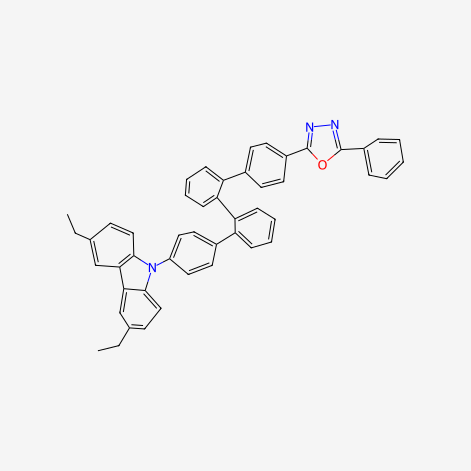 CCc1ccc2c(c1)c1cc(CC)ccc1n2-c1ccc(-c2ccccc2-c2ccccc2-c2ccc(-c3nnc(-c4ccccc4)o3)cc2)cc1